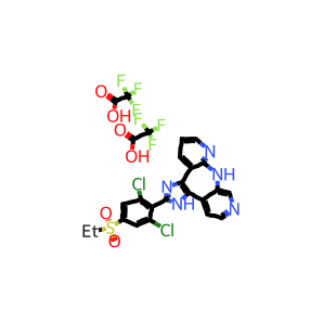 CCS(=O)(=O)c1cc(Cl)c(-c2nc3c([nH]2)-c2ccncc2Nc2ncccc2-3)c(Cl)c1.O=C(O)C(F)(F)F.O=C(O)C(F)(F)F